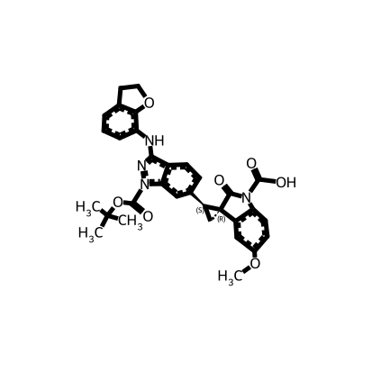 COc1ccc2c(c1)[C@]1(C[C@H]1c1ccc3c(Nc4cccc5c4OCC5)nn(C(=O)OC(C)(C)C)c3c1)C(=O)N2C(=O)O